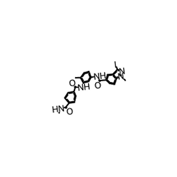 CNC(=O)c1ccc(C(=O)Nc2cc(NC(=O)c3ccc4c(c3)c(I)nn4C)ccc2C)cc1